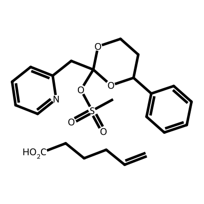 C=CCCCC(=O)O.CS(=O)(=O)OC1(Cc2ccccn2)OCCC(c2ccccc2)O1